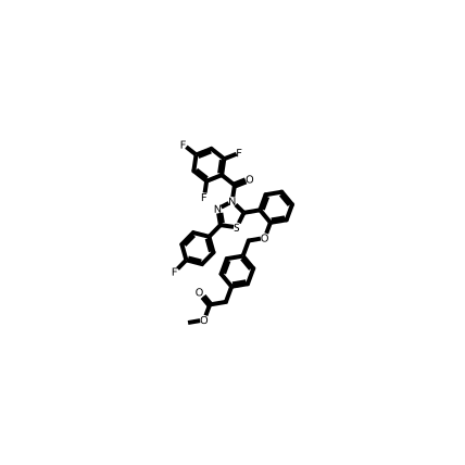 COC(=O)Cc1ccc(COc2ccccc2C2SC(c3ccc(F)cc3)=NN2C(=O)c2c(F)cc(F)cc2F)cc1